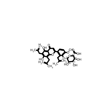 C=C(C)Cc1c(-c2cc(=O)c3c(O)c(CC(=C)C)c(O)c(CC(=C)C)c3o2)ccc(OC)c1O[C@@H]1O[C@H](C(=O)O)[C@@H](O)[C@H](O)[C@H]1O